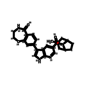 CN1CC2CCC(C1)N2C(=O)c1cnc2[nH]cc(-c3ccc4c(c3)OCCNC4=O)c2c1